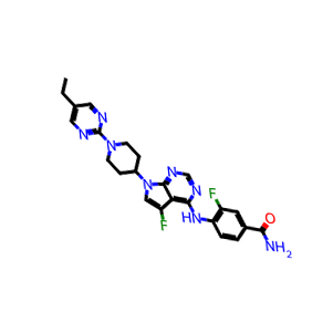 CCc1cnc(N2CCC(n3cc(F)c4c(Nc5ccc(C(N)=O)cc5F)ncnc43)CC2)nc1